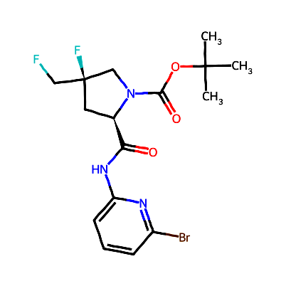 CC(C)(C)OC(=O)N1C[C@@](F)(CF)C[C@@H]1C(=O)Nc1cccc(Br)n1